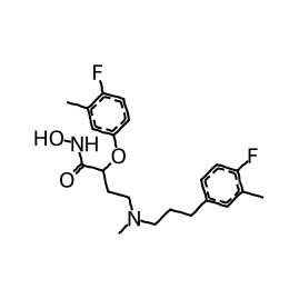 Cc1cc(CCCN(C)CCC(Oc2ccc(F)c(C)c2)C(=O)NO)ccc1F